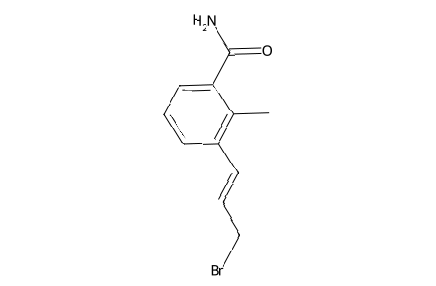 Cc1c(C=CCBr)cccc1C(N)=O